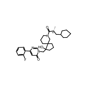 C[C@H](CC1CCCCC1)C(=O)N1CCCC2(CCCC2(O)Cn2cnc(-c3ccccc3F)cc2=O)C1